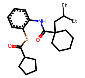 CCC(CC)CC1(C(=O)Nc2ccccc2SC(=O)C2CCCC2)CCCCC1